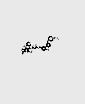 CCc1nc2c(cnn2CC)c(NC2CCOCC2)c1CNC(=O)CC(=O)NCc1ccc(Cl)c(-c2cccc(CN3CCCN(C)CC3)c2)c1